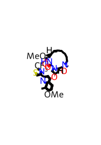 COC(=O)[C@@]12C[C@H]1/C=C\CCCCN(C)C(=O)[C@@H]1C[C@H](Oc3cc(-c4csc(C(F)(F)F)n4)nc4c(C)c(OC)ccc34)CN1C(=O)N2